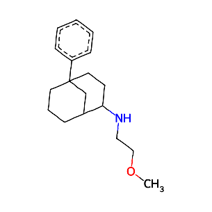 COCCNC1CCC2(c3ccccc3)CCCC1C2